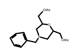 COCC1CN(Cc2ccccc2)CC(COC)O1